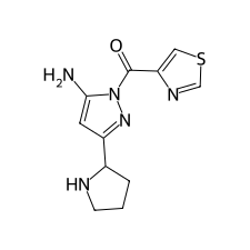 Nc1cc(C2CCCN2)nn1C(=O)c1cscn1